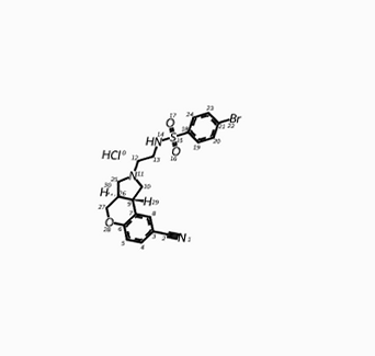 Cl.N#Cc1ccc2c(c1)[C@H]1CN(CCNS(=O)(=O)c3ccc(Br)cc3)C[C@@H]1CO2